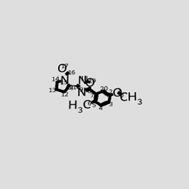 COc1ccc(C)c(-c2nc([C@@H]3CCCN3C=O)no2)c1